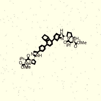 COC(=O)N[C@H](C(=O)N1[C@@H](C)CC[C@H]1c1ncc(-c2ccc(-c3ccc(-c4ccc5[nH]c([C@@H]6CC[C@H](C)N6C(=O)[C@@H](NC(=O)OC)C(C)C)nc5c4)c4c3C3CCC4C3)cc2)[nH]1)C(C)C